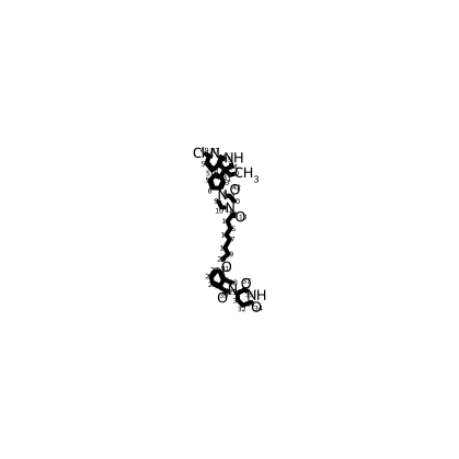 CCC1(c2cccc(N3CCN(C(=O)CCCCCCCOc4cccc5c4CN(C4CCC(=O)NC4=O)C5=O)CC3=O)c2)CNc2nc(Cl)ccc21